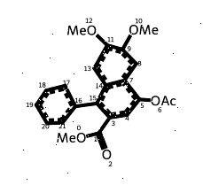 COC(=O)c1cc(OC(C)=O)c2cc(OC)c(OC)cc2c1-c1ccccc1